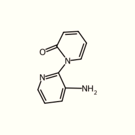 Nc1cccnc1-n1ccccc1=O